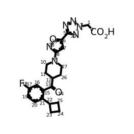 O=C(O)Cn1nnc(-c2cc(N3CCC(C(=O)c4cc(F)ccc4C4CCC4)CC3)no2)n1